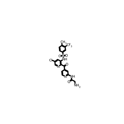 Cc1ccc(S(=O)(=O)Nc2cc(Cl)cnc2C(=O)c2ccnc(NC(=O)CN)c2)cc1C(F)(F)F